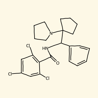 O=C(NC(c1ccccc1)C1(N2CCCC2)CCCC1)c1c(Cl)cc(Cl)cc1Cl